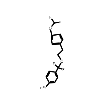 CCCc1ccc(C(F)(F)OCCc2ccc(OC(F)F)cc2)cc1